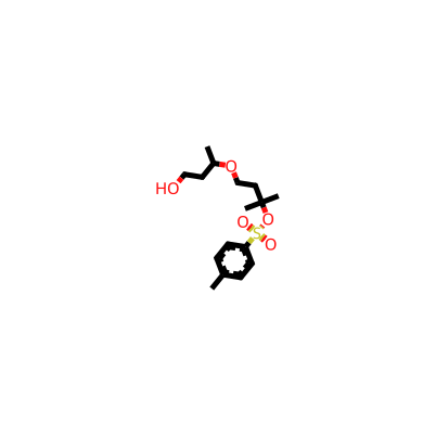 Cc1ccc(S(=O)(=O)OC(C)(C)CCOC(C)CCO)cc1